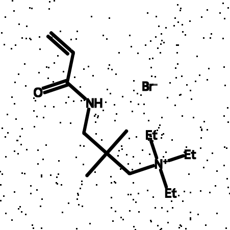 C=CC(=O)NCC(C)(C)C[N+](CC)(CC)CC.[Br-]